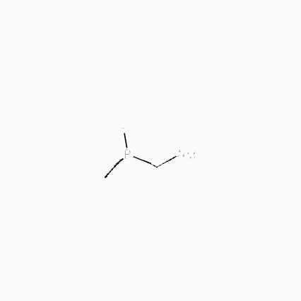 CNCB(C)F